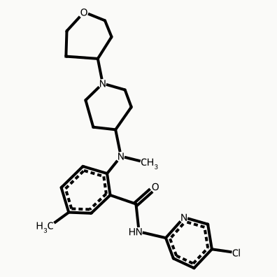 Cc1ccc(N(C)C2CCN(C3CCOCC3)CC2)c(C(=O)Nc2ccc(Cl)cn2)c1